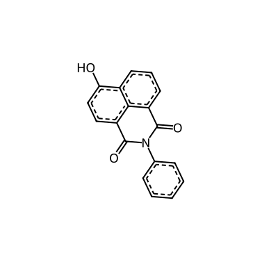 O=C1c2cccc3c(O)ccc(c23)C(=O)N1c1ccccc1